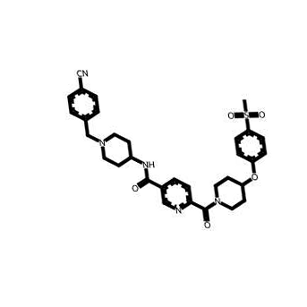 CS(=O)(=O)c1ccc(OC2CCN(C(=O)c3ccc(C(=O)NC4CCN(Cc5ccc(C#N)cc5)CC4)cn3)CC2)cc1